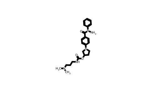 CN(C)CCCNC(=O)OC1CCN(c2ccc(C(=O)N(N)c3ccccc3)cc2)C1